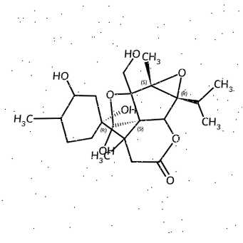 CC1CC[C@](O)(C2(C)CC(=O)OC3[C@@]24C(O)OC4(CO)[C@]2(C)O[C@]32C(C)C)CC1O